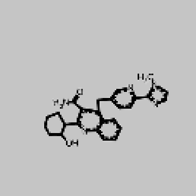 Cn1ccnc1-c1ccc(Cc2c(C(N)=O)c(C3CCCCC3O)nc3ccccc23)cn1